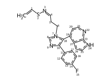 C=CS/N=C\CCn1cnc(-c2ccc(F)cc2)c1-c1ccnc2[nH]ccc12